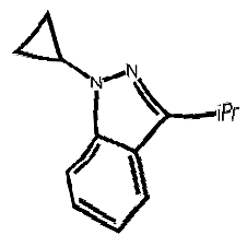 CC(C)c1nn(C2CC2)c2ccccc12